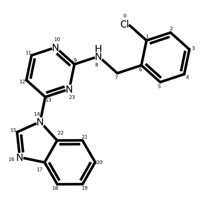 Clc1ccccc1CNc1nccc(-n2cnc3ccccc32)n1